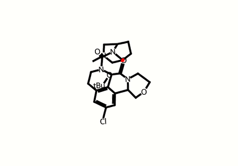 CN1CC2CCC(C1)N2C(=O)N1CCc2cc(Cl)cc(C3COCCN3C(=O)OC(C)(C)C)c2C1